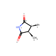 CC(C)[C@@H]1C(=O)NC(=O)[C@@H]1C